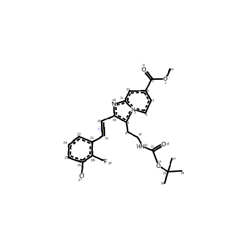 COC(=O)c1ccn2c(CCNC(=O)OC(C)(C)C)c(/C=C/c3cccc(Cl)c3F)nc2c1